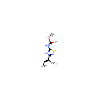 CCC/C=C(\C(=O)O)c1nsc(NC(=O)OC(C)(C)C)n1